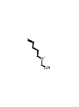 C=CCCCOCCCC